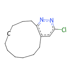 Clc1cc2c(nn1)CCCCCCCCCC2